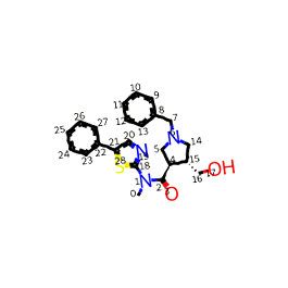 CN(C(=O)[C@H]1CN(Cc2ccccc2)C[C@@H]1CO)c1ncc(-c2ccccc2)s1